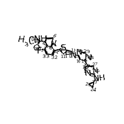 CNC(=O)c1ccnc2c(C3CC(CNc4cc(-c5cnc(NC6CC6)nc5)ncn4)S3)ccc(F)c12